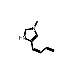 C=C/C=C\C1=CN(C)CN1